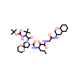 CCCC(NC(=O)[C@@H]1CC2(CN1C(=O)C(NC(=O)OC(C)(C)C)C(C)(C)C)SCCCS2)C(=O)C(=O)NCC(=O)NC(CO)CC1CCCCC1